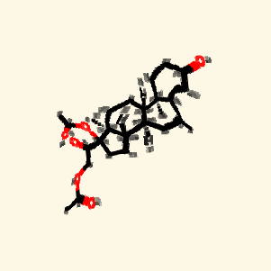 CC(=O)OCC(=O)[C@@]1(OC(C)=O)CC[C@H]2[C@@H]3C=C(C)C4=CC(=O)CC[C@]4(C)[C@H]3CC[C@@]21C